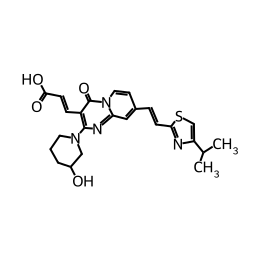 CC(C)c1csc(C=Cc2ccn3c(=O)c(C=CC(=O)O)c(N4CCCC(O)C4)nc3c2)n1